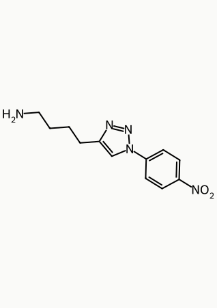 NCCCCc1cn(-c2ccc([N+](=O)[O-])cc2)nn1